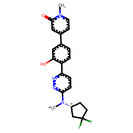 CN(c1ccc(-c2ccc(-c3ccn(C)c(=O)c3)cc2O)nn1)[C@@H]1CCC(F)(F)C1